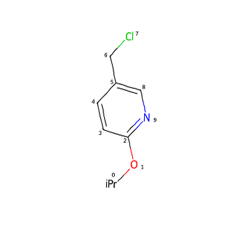 CC(C)Oc1ccc(CCl)cn1